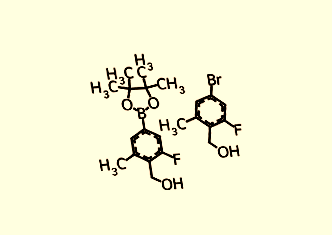 Cc1cc(B2OC(C)(C)C(C)(C)O2)cc(F)c1CO.Cc1cc(Br)cc(F)c1CO